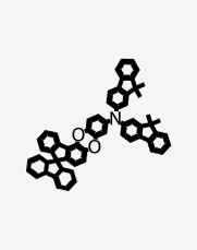 CC1(C)c2ccccc2-c2ccc(N(c3ccc4c(c3)Oc3ccc5c(c3O4)-c3ccccc3C53C4CC=CC=C4C4C=CC=CC43)c3ccc4c(c3)C(C)(C)c3ccccc3-4)cc21